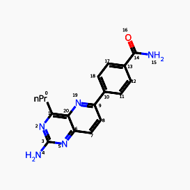 CCCc1nc(N)nc2ccc(-c3ccc(C(N)=O)cc3)nc12